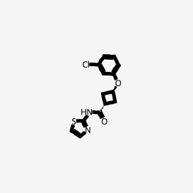 O=C(Nc1nccs1)[C@H]1C[C@H](Oc2cccc(Cl)c2)C1